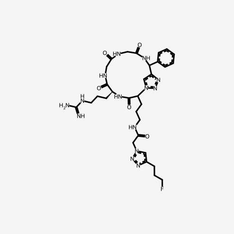 N=C(N)NCCC[C@@H]1NC(=O)C(CCCNC(=O)Cn2cc(CCCF)nn2)n2cc(nn2)C(c2ccccc2)NC(=O)CNC(=O)CNC1=O